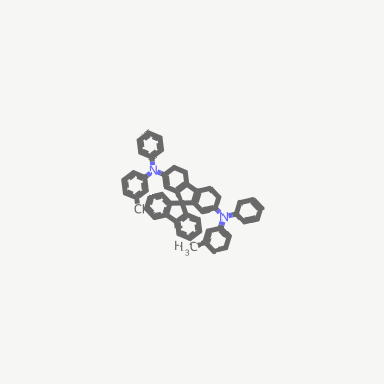 CC1=CC(N(C2=CC3=C(CC2)C2=C(C=C(N(c4ccccc4)c4cccc(C)c4)CC2)C32c3ccccc3-c3ccccc32)C2C=CC=CC2)=CCC1